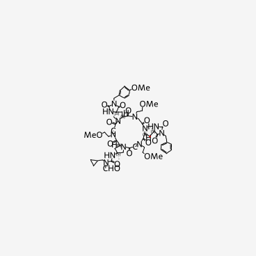 COCCN1CC(=O)N2C[C@]3(C[C@H]2C(=O)N(CCOC)CC(=O)N2C[C@]4(C[C@H]2C(=O)N(CCOC)CC(=O)N2C[C@@](C)(NC(=O)N(C=O)CC5CC5)C[C@H]2C1=O)NC(=O)N(Cc1ccccc1)C4=O)NC(=O)N(Cc1ccc(OC)cc1)C3=O